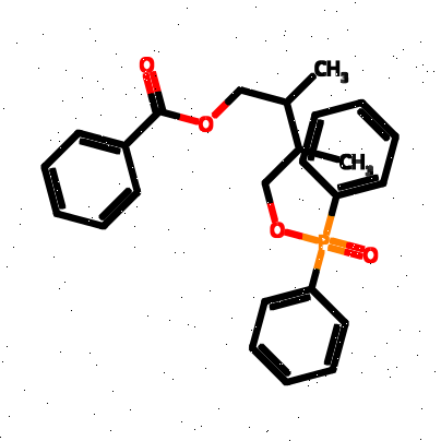 CC(COC(=O)c1ccccc1)C(C)COP(=O)(c1ccccc1)c1ccccc1